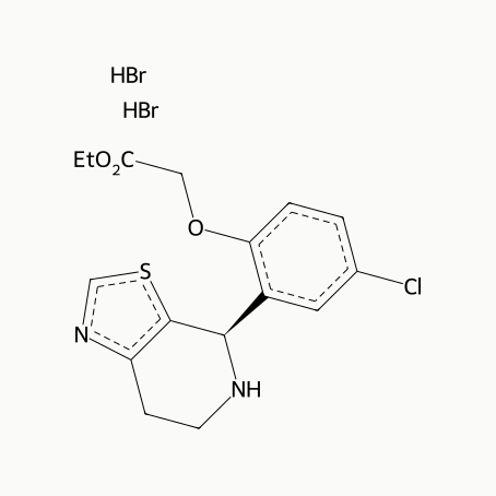 Br.Br.CCOC(=O)COc1ccc(Cl)cc1[C@H]1NCCc2ncsc21